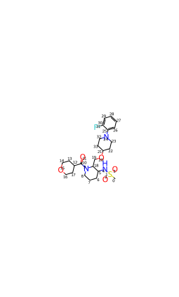 CS(=O)(=O)NC1CCCN(C(=O)C2CCOCC2)C1COC1CCN(c2ccccc2F)CC1